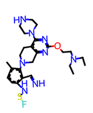 CCN(CC)CCOc1nc2c(c(N3CCNCC3)n1)CCN(c1c(C)ccc(NSF)c1C=N)C2